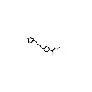 CCC/C(F)=C(\F)c1ccc(CCCCc2ccc(F)c(F)c2)cc1